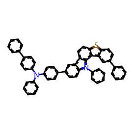 c1ccc(-c2ccc(N(c3ccccc3)c3ccc(-c4ccc5c(c4)c4ccc6sc7ccc(-c8ccccc8)cc7c6c4n5-c4ccccc4)cc3)cc2)cc1